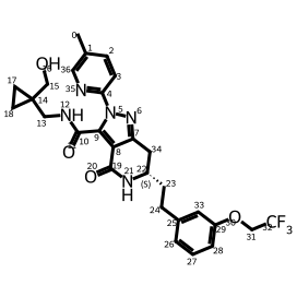 Cc1ccc(-n2nc3c(c2C(=O)NCC2(CO)CC2)C(=O)N[C@@H](CCc2cccc(OCC(F)(F)F)c2)C3)nc1